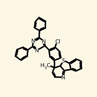 CC1(c2ccc(Cl)c(-c3nc(-c4ccccc4)nc(-c4ccccc4)n3)c2)C=CN=C2c3ccccc3SC21